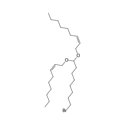 CCCCCC/C=C\COC(CCCCCCCBr)OC/C=C\CCCCCC